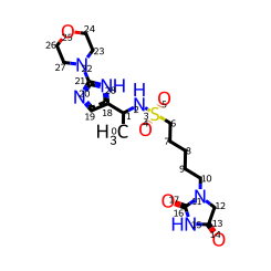 CC(NS(=O)(=O)CCCCCN1CC(=O)NC1=O)c1cnc(N2CCOCC2)[nH]1